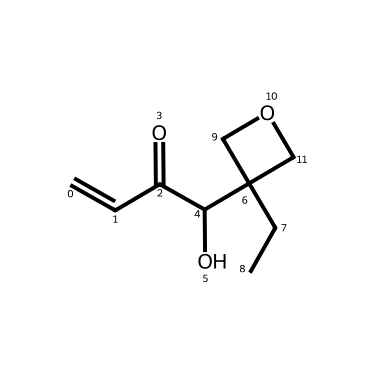 C=CC(=O)C(O)C1(CC)COC1